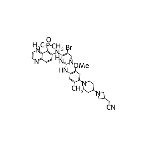 COc1cc(N2CCC(N3CC(CC#N)C3)CC2)c(C)cc1Nc1ncc(Br)c(Nc2ccc3nccnc3c2P(C)(C)=O)n1